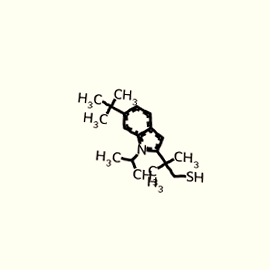 CC(C)n1c(C(C)(C)CS)cc2ccc(C(C)(C)C)cc21